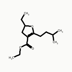 CCOC(=O)C1=C(CCC(C)C)OC(CC)C1